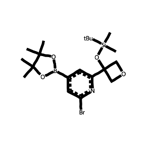 CC1(C)OB(c2cc(Br)nc(C3(O[Si](C)(C)C(C)(C)C)COC3)c2)OC1(C)C